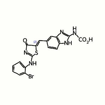 O=C(O)Nc1nc2cc(/C=C3\SC(Nc4ccccc4Br)=NC3=O)ccc2[nH]1